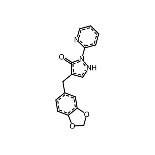 O=c1c(Cc2ccc3c(c2)OCO3)c[nH]n1-c1ccccn1